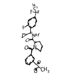 CC(F)(F)c1ccc([C@H](NC(=O)[C@H]2CCCN2C(=O)c2cccc(S(C)(=O)=O)c2)C2CC2)c(F)c1